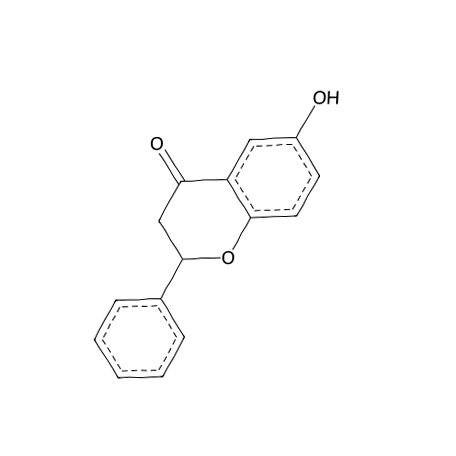 O=C1CC(c2ccccc2)Oc2ccc(O)cc21